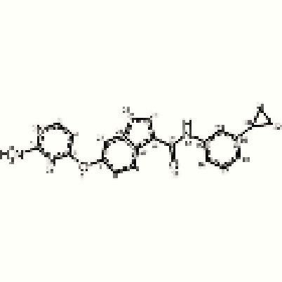 Nc1nccc(Oc2ccc3c(C(=O)Nc4cccc(C5CC5)c4)csc3c2)n1